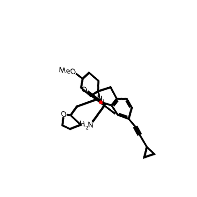 COC1CCC2(CC1)Cc1ccc(C#CC3CC3)cc1[C@]21N=C(N)N(CC2CCCO2)C1=O